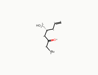 C=CC[C@H](CC(=O)CC(C)(C)C)C(=O)O